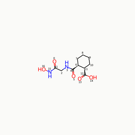 O=C(CNC(=O)[C@H]1CCCC[C@H]1C(=O)O)NO